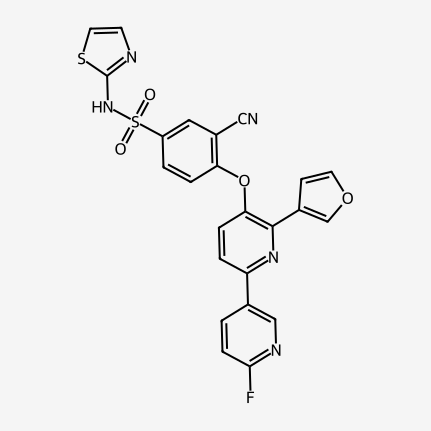 N#Cc1cc(S(=O)(=O)Nc2nccs2)ccc1Oc1ccc(-c2ccc(F)nc2)nc1-c1ccoc1